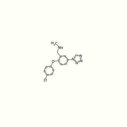 CNCc1cc(-n2cnnn2)ccc1Oc1ccc(Cl)cc1